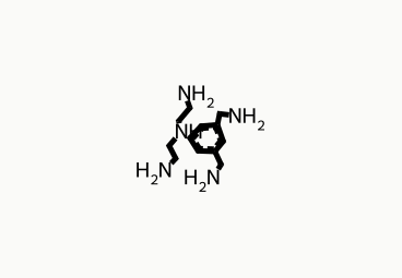 NCCNCCN.NCc1cccc(CN)c1